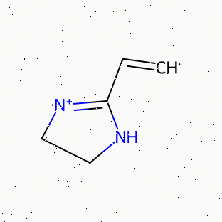 [CH]=CC1=[N+]CCN1